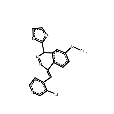 COc1ccc2c(c1)C(c1nccs1)N=NC2=Cc1ccncc1Cl